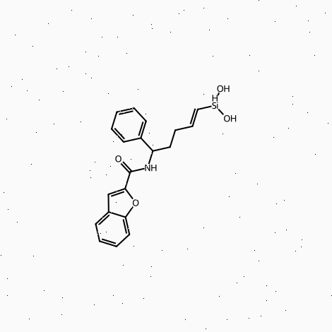 O=C(NC(CCC=C[SiH](O)O)c1ccccc1)c1cc2ccccc2o1